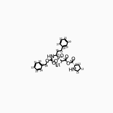 CCOP(=O)(CC(=O)OC(=O)[C@@H]1CCCN1)C(CCc1ccccc1)NC(=O)OCc1ccccc1